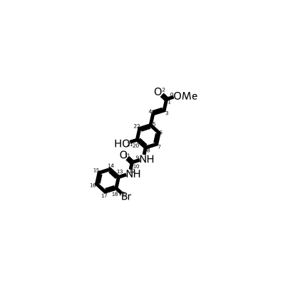 COC(=O)C=Cc1ccc(NC(=O)Nc2ccccc2Br)c(O)c1